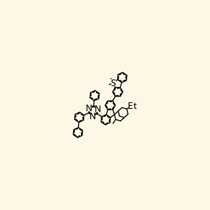 CCC1CC2CC(C)C3(c4cc(-c5ccc6c(c5)S(C)(C)c5ccccc5-6)ccc4-c4c(-c5nc(-c6ccccc6)nc(-c6cccc(-c7ccccc7)c6)n5)cccc43)C(C1)C2